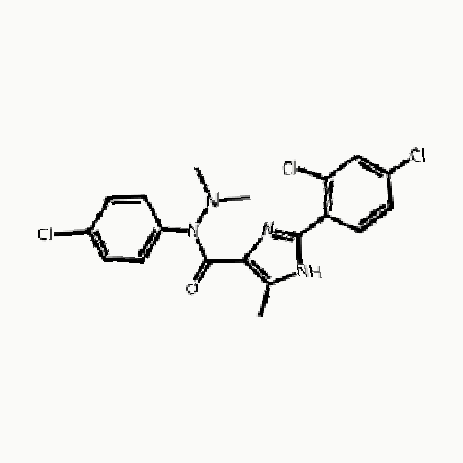 Cc1[nH]c(-c2ccc(Cl)cc2Cl)nc1C(=O)N(c1ccc(Cl)cc1)N(C)C